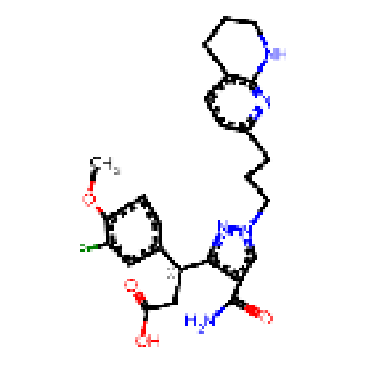 COc1ccc([C@H](CC(=O)O)c2nn(CCCc3ccc4c(n3)NCCC4)cc2C(N)=O)cc1F